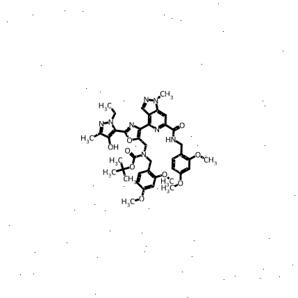 CCn1nc(C)c(O)c1-c1nc(-c2nc(C(=O)NCc3ccc(OC)cc3OC)cc3c2cnn3C)c(CN(Cc2ccc(OC)cc2OC)C(=O)OC(C)(C)C)o1